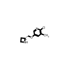 Cc1cc(OC[C@H]2CCN2)cnc1Cl